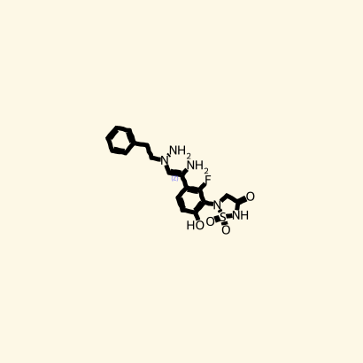 N/C(=C\N(N)CCc1ccccc1)c1ccc(O)c(N2CC(=O)NS2(=O)=O)c1F